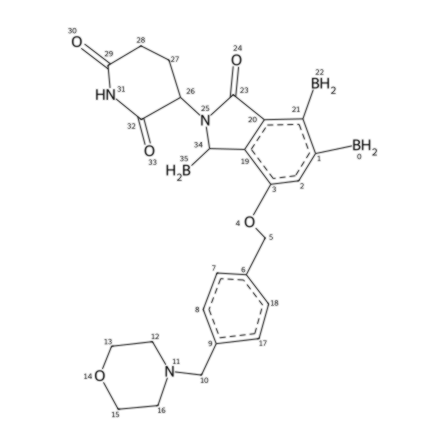 Bc1cc(OCc2ccc(CN3CCOCC3)cc2)c2c(c1B)C(=O)N(C1CCC(=O)NC1=O)C2B